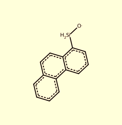 [O][SiH2]c1cccc2c1ccc1ccccc12